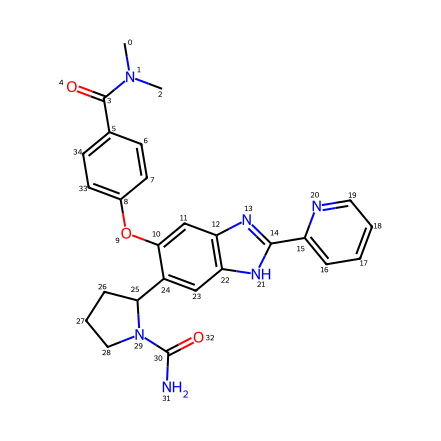 CN(C)C(=O)c1ccc(Oc2cc3nc(-c4ccccn4)[nH]c3cc2C2CCCN2C(N)=O)cc1